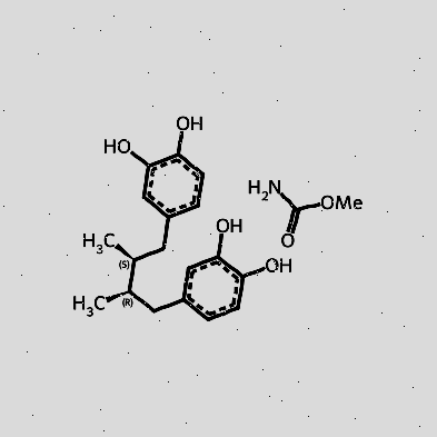 COC(N)=O.C[C@H](Cc1ccc(O)c(O)c1)[C@@H](C)Cc1ccc(O)c(O)c1